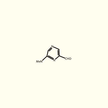 CNc1cncc([C]=O)n1